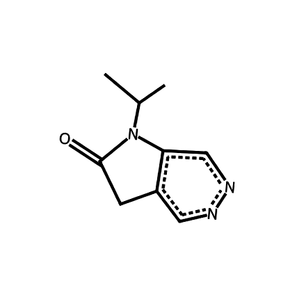 CC(C)N1C(=O)Cc2cnncc21